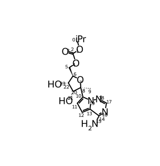 CC(C)OC(=O)OC[C@H]1O[C@@](C)(c2ccc3c(N)ncnn23)[C@H](O)[C@@H]1O